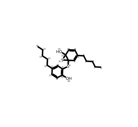 CCCCCC1=CC2(Sc3cc(CCCCC)ccc3O)SC2(O)C=C1